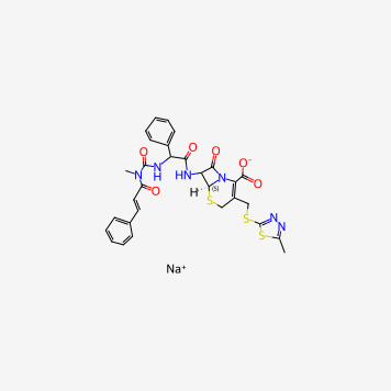 Cc1nnc(SCC2=C(C(=O)[O-])N3C(=O)C(NC(=O)C(NC(=O)N(C)C(=O)C=Cc4ccccc4)c4ccccc4)[C@@H]3SC2)s1.[Na+]